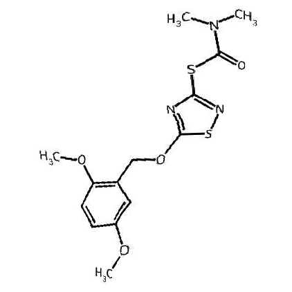 COc1ccc(OC)c(COc2nc(SC(=O)N(C)C)ns2)c1